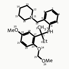 CCC(C)(Pc1ccccc1CN1CCCCC1)c1cc(OC)ccc1OCOC